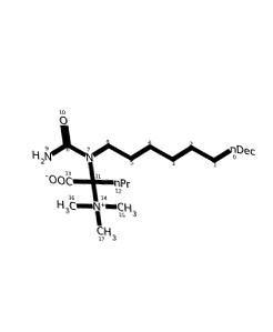 CCCCCCCCCCCCCCCCN(C(N)=O)C(CCC)(C(=O)[O-])[N+](C)(C)C